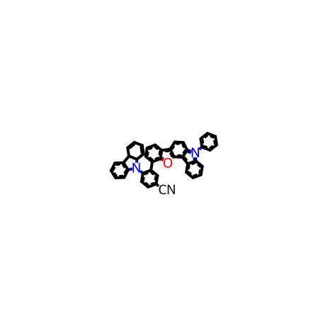 N#Cc1ccc(N2c3ccccc3C3C=CC=CC32)c(-c2cccc3c2oc2c3ccc3c2c2ccccc2n3-c2ccccc2)c1